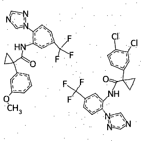 COc1cccc(C2(C(=O)Nc3cc(C(F)(F)F)ccc3-n3cncn3)CC2)c1.O=C(Nc1cc(C(F)(F)F)ccc1-n1cncn1)C1(c2ccc(Cl)c(Cl)c2)CC1